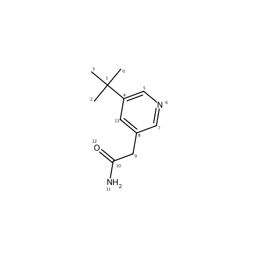 CC(C)(C)c1cncc(CC(N)=O)c1